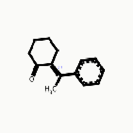 C/C(=C1/CCCCC1=O)c1ccccc1